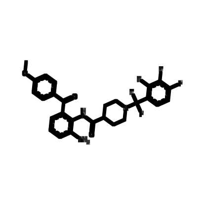 COc1ccc(C(=O)c2cccc(N)c2NC(=O)C2CCN(C(F)(F)c3ccc(F)c(F)c3F)CC2)cc1